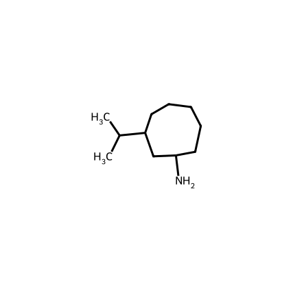 CC(C)C1CCCCCC(N)C1